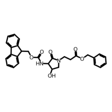 O=C(CCN1CC(O)C(NC(=O)OCC2c3ccccc3-c3ccccc32)C1=O)OCc1ccccc1